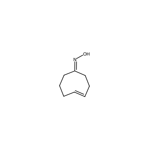 ON=C1CC/C=C/CCC1